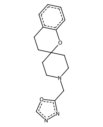 c1ccc2c(c1)CCC1(CCN(Cc3nnco3)CC1)O2